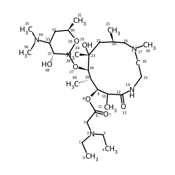 CCN(CC)CC(=O)O[C@@H]1C(C)C(=O)NCCN(C)C[C@H](C)C[C@@](C)(O)[C@H](OC2O[C@H](C)CC(N(C)C)[C@H]2O)[C@H]1C